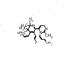 C=C/C=C\N1C(C2=NC(C)(C)C(C)(C)C(/C=C\C)=C2/C=C/F)=CCN=C1C